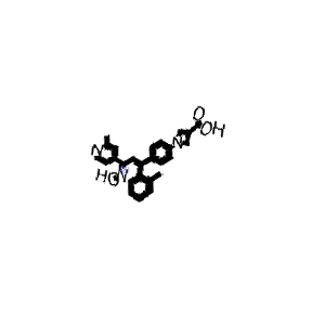 Cc1cc(/C(CC(c2ccc(N3CC(C(=O)O)C3)cc2)c2ccccc2C)=N\O)ccn1